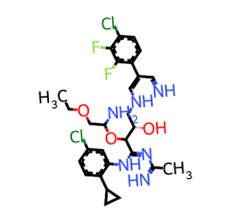 CCOCC(N)OC(/C(=N/C(C)=N)Nc1cc(Cl)ccc1C1CC1)[C@@H](O)CN/C=C(\C=N)c1ccc(Cl)c(F)c1F